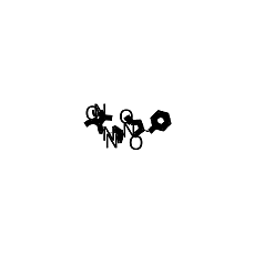 Cc1noc(C)c1Cn1cc(N2C(=O)C[C@H](Cc3ccccc3)C2=O)cn1